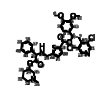 COc1ccc([C@H](Cc2c(Cl)cncc2Cl)OC(=O)c2ccc(CNC(C(=O)O[C@@H]3CCCN(C)C3)c3ccccc3)s2)cc1OC